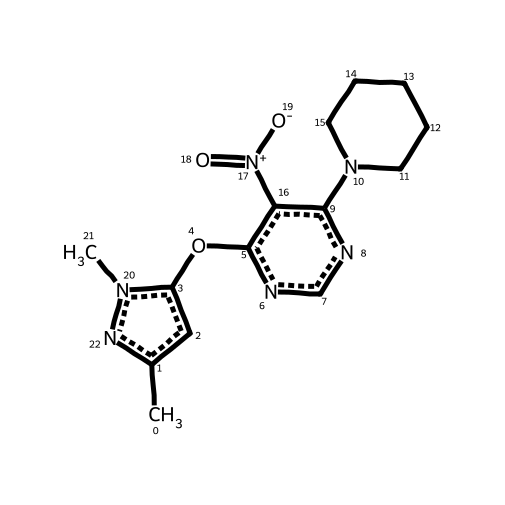 Cc1cc(Oc2ncnc(N3CCCCC3)c2[N+](=O)[O-])n(C)n1